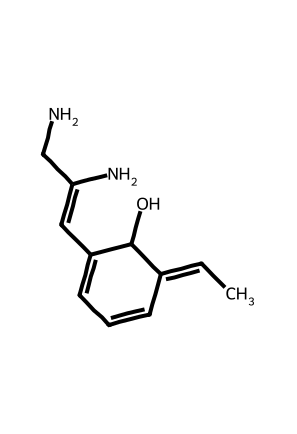 CC=C1C=CC=C(C=C(N)CN)C1O